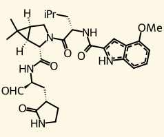 COc1cccc2[nH]c(C(=O)N[C@@H](CC(C)C)C(=O)N3C[C@H]4[C@@H]([C@H]3C(=O)N[C@H](C=O)C[C@@H]3CCNC3=O)C4(C)C)cc12